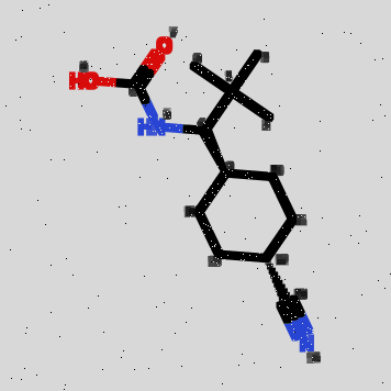 CC(C)(C)C(NC(=O)O)[C@H]1CC[C@H](C#N)CC1